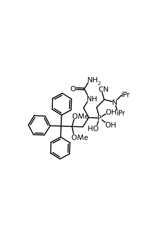 COC(CC(CNC(N)=O)P(O)(O)(O)CC(C#N)N(C(C)C)C(C)C)(OC)C(c1ccccc1)(c1ccccc1)c1ccccc1